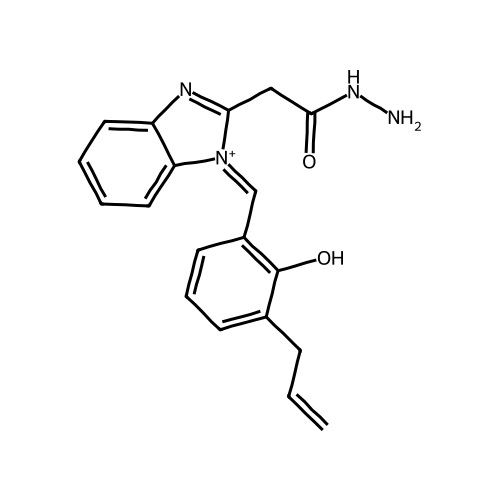 C=CCc1cccc(C=[N+]2C(CC(=O)NN)=Nc3ccccc32)c1O